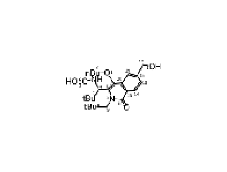 CCCCOc1c(C(NC(=O)O)C(C)(C)C)n(CC(C)(C)C)c(=O)c2ccc(CO)cc12